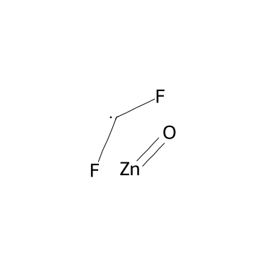 F[CH]F.[O]=[Zn]